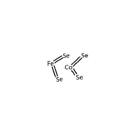 [Se]=[Co]=[Se].[Se]=[Fe]=[Se]